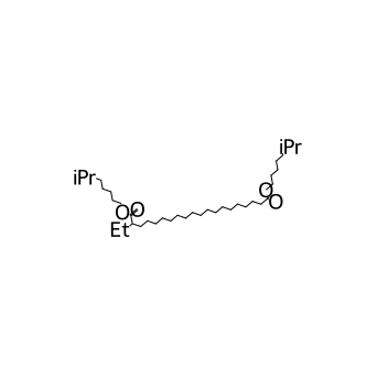 CCC(CCCCCCCCCCCCCCCCCC(=O)OCCCCCC(C)C)C(=O)OCCCCCC(C)C